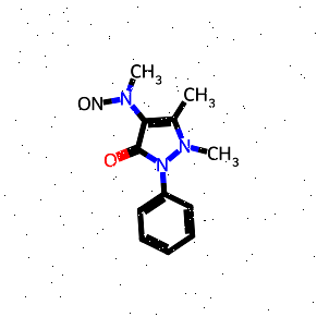 Cc1c(N(C)N=O)c(=O)n(-c2ccccc2)n1C